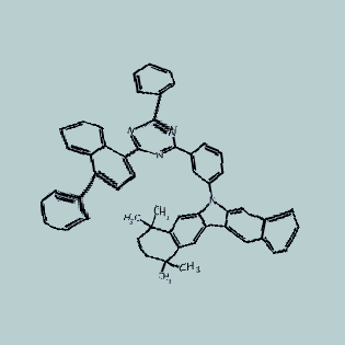 CC1(C)CCC(C)(C)c2cc3c(cc21)c1cc2ccccc2cc1n3-c1cccc(-c2nc(-c3ccccc3)nc(-c3ccc(-c4ccccc4)c4ccccc34)n2)c1